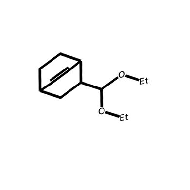 CCOC(OCC)C1CC2C=CC1CC2